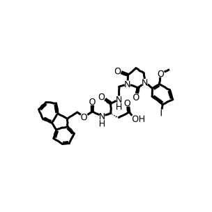 COc1ccc(I)cc1N1CCC(=O)N(CNC(=O)[C@H](CC(=O)O)NC(=O)OCC2c3ccccc3-c3ccccc32)C1=O